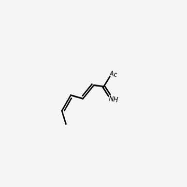 C/C=C\C=C\C(=N)C(C)=O